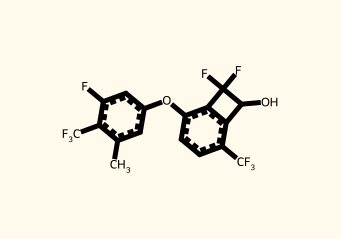 Cc1cc(Oc2ccc(C(F)(F)F)c3c2C(F)(F)C3O)cc(F)c1C(F)(F)F